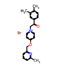 Cc1cccc(COc2cc[n+](CC(=O)c3ccc(C)c(C)c3)cc2)n1.[Br-]